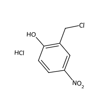 Cl.O=[N+]([O-])c1ccc(O)c(CCl)c1